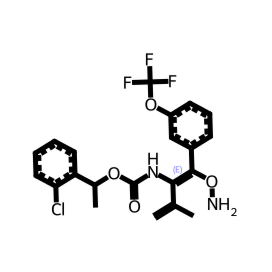 C=C(C)/C(NC(=O)OC(C)c1ccccc1Cl)=C(\ON)c1cccc(OC(F)(F)F)c1